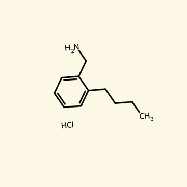 CCCCc1ccccc1CN.Cl